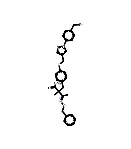 COC(=O)C(C)(Cc1ccc(OCc2cnn(-c3ccc(CC(C)C)cc3)c2)cc1)/C(C)=N/OCc1ccccc1